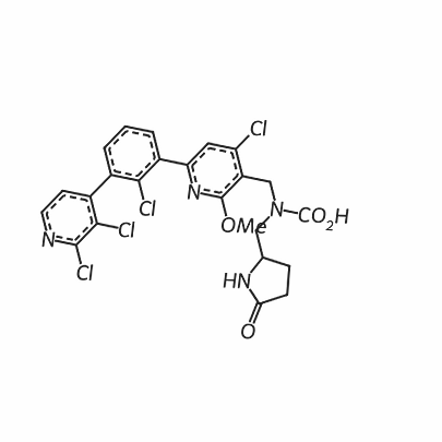 COc1nc(-c2cccc(-c3ccnc(Cl)c3Cl)c2Cl)cc(Cl)c1CN(CC1CCC(=O)N1)C(=O)O